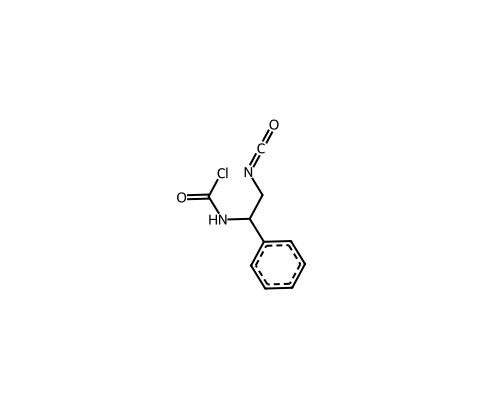 O=C=NCC(NC(=O)Cl)c1ccccc1